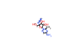 C=C1N=C(N)C=NN1C1OC(CO)(N=[N+]=[N-])C(O)C1O